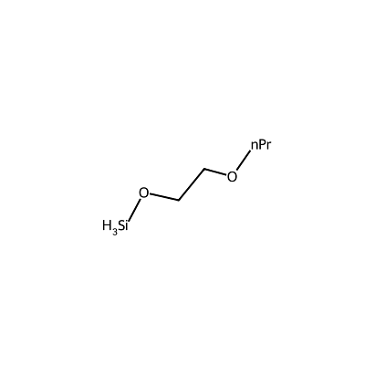 CCCOCCO[SiH3]